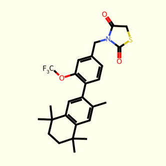 Cc1cc2c(cc1-c1ccc(CN3C(=O)CSC3=O)cc1OC(F)(F)F)C(C)(C)CCC2(C)C